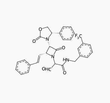 O=CC(C(=O)NCc1cccc(C(F)(F)F)c1)N1C(=O)[C@@H](N2C(=O)OC[C@@H]2c2ccccc2)[C@H]1/C=C/c1ccccc1